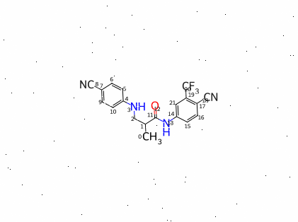 CC(CNc1ccc(C#N)cc1)C(=O)Nc1ccc(C#N)c(C(F)(F)F)c1